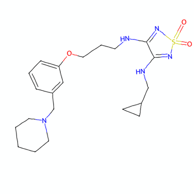 O=S1(=O)N=C(NCCCOc2cccc(CN3CCCCC3)c2)C(NCC2CC2)=N1